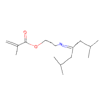 C=C(C)C(=O)OCCN=C(CC(C)C)CC(C)C